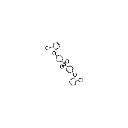 O=S(=O)(c1ccc(Oc2ccccc2Cl)cc1)c1ccc(Oc2ccccc2Cl)cc1